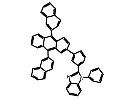 c1ccc(-n2c(-c3cccc(-c4ccc5c(-c6ccc7ccccc7c6)c6ccccc6c(-c6ccc7ccccc7c6)c5c4)c3)nc3ccccc32)cc1